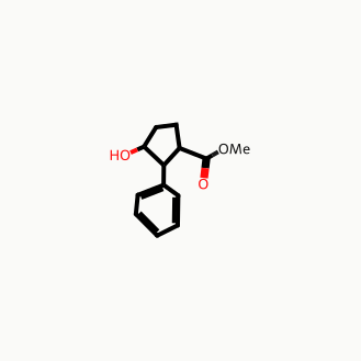 COC(=O)C1CCC(O)C1c1ccccc1